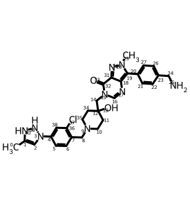 CC1=CN(c2ccc(CN3CCC(O)(Cn4cnc5c(-c6ccc(CN)cc6)n(C)nc5c4=O)CC3)c(Cl)c2)NN1